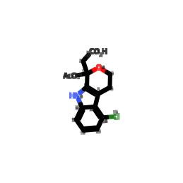 CC(=O)OC1(CC(=O)O)OCCc2c1[nH]c1cccc(Cl)c21